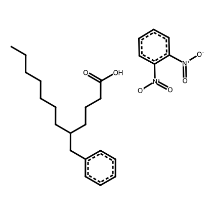 CCCCCCCC(CCCC(=O)O)Cc1ccccc1.O=[N+]([O-])c1ccccc1[N+](=O)[O-]